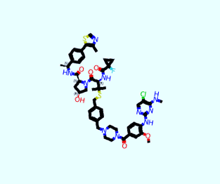 CNc1nc(Nc2ccc(C(=O)N3CCN(Cc4ccc(CSC(C)(C)[C@H](NC(=O)C5(F)CC5)C(=O)N5C[C@H](O)C[C@H]5C(=O)N[C@@H](C)c5ccc(-c6scnc6C)cc5)cc4)CC3)cc2OC)ncc1Cl